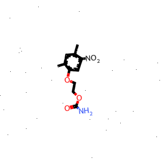 Cc1cc(C)c([N+](=O)[O-])cc1OCCOC(N)=O